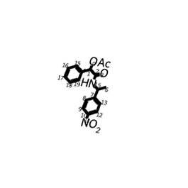 CC(=O)OC(C(=O)NC(C)c1ccc([N+](=O)[O-])cc1)c1ccccc1